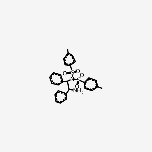 Cc1ccc(S(=O)(=O)N(C(c2ccccc2)C(N)c2ccccc2)S(=O)(=O)c2ccc(C)cc2)cc1